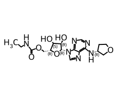 CCNC(=O)OC[C@H]1O[C@@H](n2cnc3c(N[C@@H]4CCOC4)ncnc32)[C@H](O)[C@@H]1O